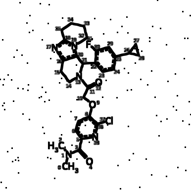 CN(C)C(=O)c1ccc(OCC(=O)N2CCc3nc4n(c3C2c2ccc(C3CC3)cc2F)CCCC4)c(Cl)n1